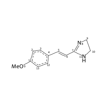 COc1ccc(/C=C/C2=NCCN2)cc1